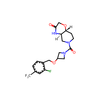 O=C1CO[C@@H]2CCN(C(=O)N3CC(OCc4ccc(C(F)(F)F)cc4F)C3)C[C@H]2N1